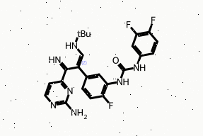 CC(C)(C)N/C=C(\C(=N)c1ccnc(N)n1)c1ccc(F)c(NC(=O)Nc2ccc(F)c(F)c2)c1